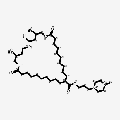 CC(C)CCC(COC(=O)CCCCCCCCCC(CCCCCCCCCC(=O)OCC(CCC(C)C)C(C)C)C(=O)OCCCN1CCN(C)CC1)C(C)C